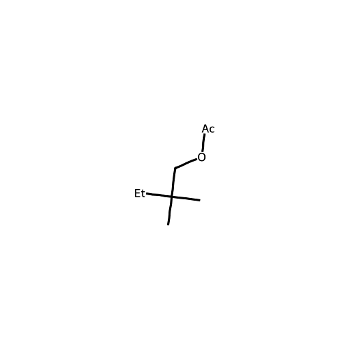 CCC(C)(C)COC(C)=O